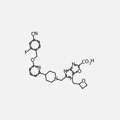 N#Cc1ccc(COc2cccc(C3CCN(Cc4nc5nc(C(=O)O)oc5n4CC4CCO4)CC3)n2)c(F)c1